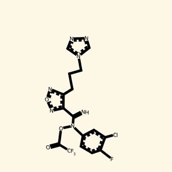 N=C(c1nonc1CCCn1cnnc1)N(OC(=O)C(F)(F)F)c1ccc(F)c(Cl)c1